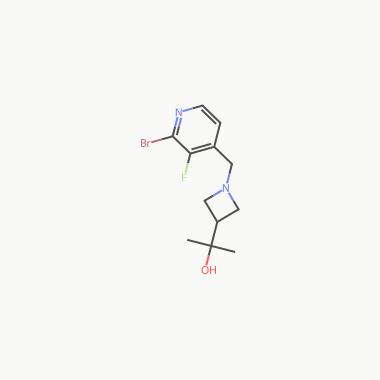 CC(C)(O)C1CN(Cc2ccnc(Br)c2F)C1